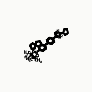 CC1(C)OB(c2ccc(-c3ccc(-c4cnc(C5CCCC5)[nH]4)cc3)c3c2C2(CCCC2)CC3)OC1(C)C